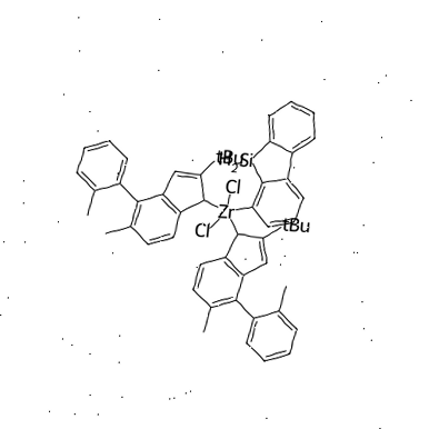 Cc1ccccc1-c1c(C)ccc2c1C=C(C(C)(C)C)[CH]2[Zr]([Cl])([Cl])([c]1cccc2c1[SiH2]c1ccccc1-2)[CH]1C(C(C)(C)C)=Cc2c1ccc(C)c2-c1ccccc1C